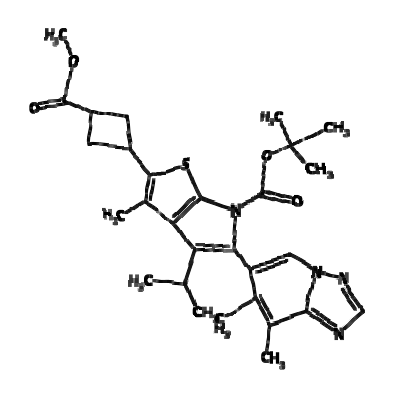 COC(=O)C1CC(c2sc3c(c2C)c(C(C)C)c(-c2cn4ncnc4c(C)c2C)n3C(=O)OC(C)(C)C)C1